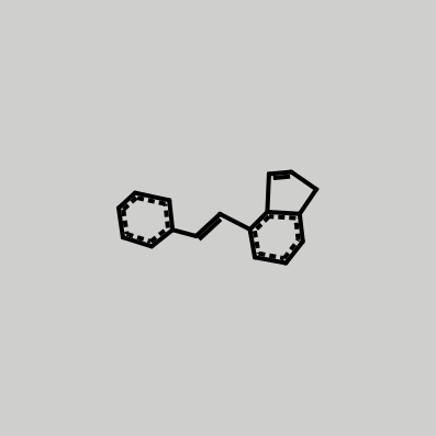 C1=Cc2c(C=Cc3ccccc3)cccc2C1